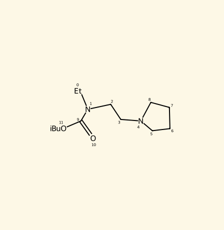 CCN(CCN1CCCC1)C(=O)OCC(C)C